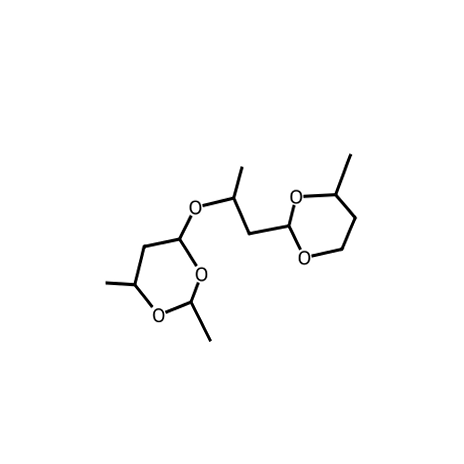 CC1CC(OC(C)CC2OCCC(C)O2)OC(C)O1